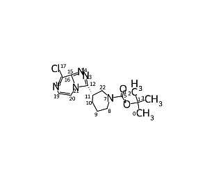 CC(C)(C)OC(=O)N1CCC[C@H](c2nnc3c(Cl)nccn23)C1